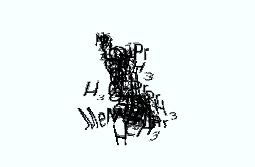 CC[C@H](NC(=O)[C@H]([C@H](O)[C@H](C)CCCc1ncccn1)N(C)C(=O)CC(C)C)C(=O)N(C)CC(=O)N(C)[C@@H](CC(C)C)C(=O)N[C@H](C(=O)N(C)[C@@H](CC(C)C)C(=O)N[C@H](C)C(=O)NC(=O)NC)C(C)C